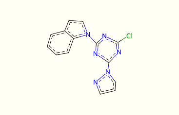 Clc1nc(-n2cccn2)nc(-n2ccc3ccccc32)n1